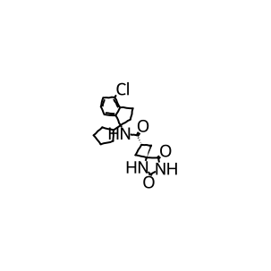 O=C1NC(=O)[C@]2(C[C@@H](C(=O)NC3(C4CCCC4)CCc4c(Cl)cccc43)C2)N1